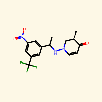 CC(NN1C=CC(=O)[C@H](C)C1)c1cc([N+](=O)[O-])cc(C(F)(F)F)c1